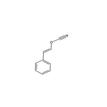 N#CO/C=C/c1ccccc1